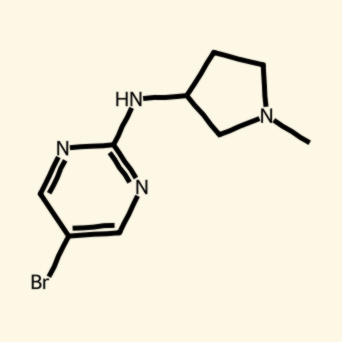 CN1CCC(Nc2ncc(Br)cn2)C1